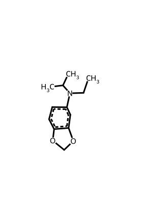 CCN(c1ccc2c(c1)OCO2)C(C)C